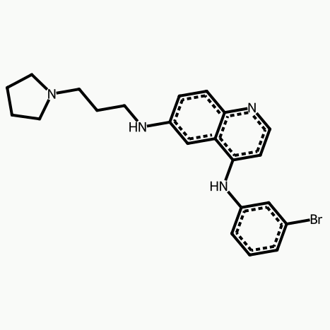 Brc1cccc(Nc2ccnc3ccc(NCCCN4CCCC4)cc23)c1